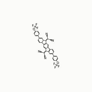 N#CC(C#N)=C1c2cc(-c3ccc(OC(F)(F)F)cc3)ccc2-c2cc3c(cc21)C1C=CC(c2ccc(OC(F)(F)F)cc2)=CC1C3=C(C#N)C#N